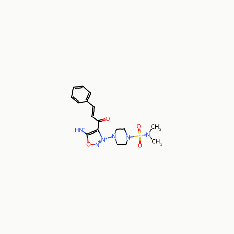 CN(C)S(=O)(=O)N1CCN([n+]2noc([NH-])c2C(=O)C=Cc2ccccc2)CC1